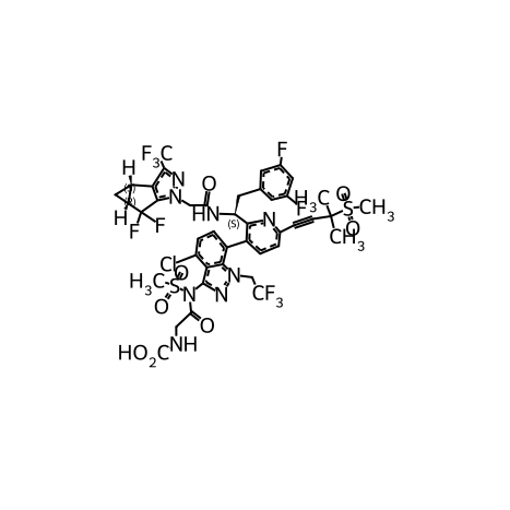 CC(C)(C#Cc1ccc(-c2ccc(Cl)c3c(N(C(=O)CNC(=O)O)S(C)(=O)=O)nn(CC(F)(F)F)c23)c([C@H](Cc2cc(F)cc(F)c2)NC(=O)Cn2nc(C(F)(F)F)c3c2C(F)(F)[C@@H]2C[C@H]32)n1)S(C)(=O)=O